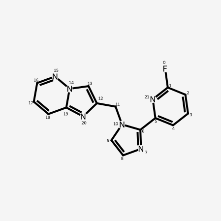 Fc1cccc(-c2nccn2Cc2cn3ncccc3n2)n1